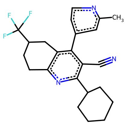 Cc1cc(-c2c(C#N)c(C3CCCCC3)nc3c2CC(C(F)(F)F)CC3)ccn1